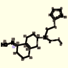 CCCN(CCc1cccs1)C1CCC2=C(CCC/C2=N\O)C1